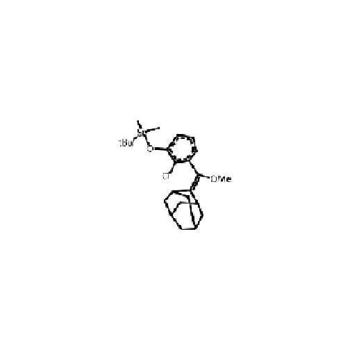 COC(=C1C2CC3CC(C2)CC1C3)c1cccc(O[Si](C)(C)C(C)(C)C)c1Cl